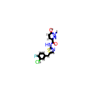 Cn1nc(C(=O)Nc2ncc(Cc3ccc(F)c(Cl)c3)s2)ccc1=O